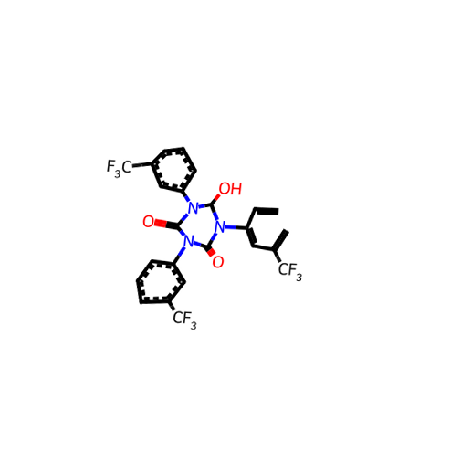 C=C/C(=C\C(=C)C(F)(F)F)N1C(=O)N(c2cccc(C(F)(F)F)c2)C(=O)N(c2cccc(C(F)(F)F)c2)C1O